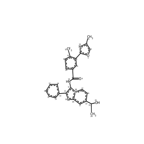 Cc1coc(-c2cc(C(=O)Nc3c(-c4ccccc4)nc4cc(C(C)O)ccn34)ccc2C(F)(F)F)n1